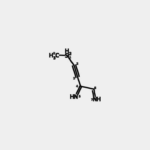 C[SiH2]C#CC(=N)C=N